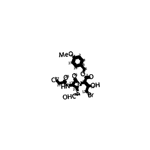 COc1ccc(COC(=O)/C(=C(\O)CBr)N2C(=O)C(NC(=O)CCl)C2SC=O)cc1